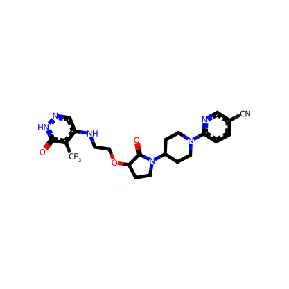 N#Cc1ccc(N2CCC(N3CCC(OCCNc4cn[nH]c(=O)c4C(F)(F)F)C3=O)CC2)nc1